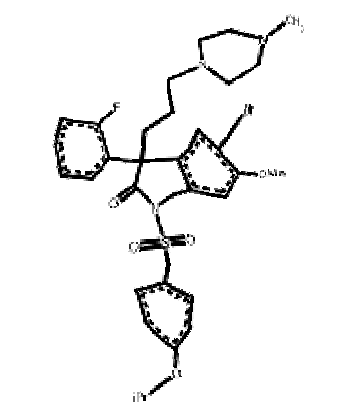 COc1cc2c(cc1Br)C(CCCN1CCN(C)CC1)(c1ccccc1F)C(=O)N2S(=O)(=O)c1ccc(OC(C)C)cc1